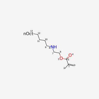 C=C(C)C(=O)OCCNCCCCCCCCCCCC